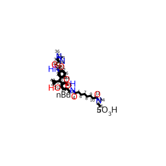 CCCCC(NC(=O)CCCCCCC(=O)N(C)CCS(=O)(=O)O)c1cc(O)c(C(c2cccc(NS(=O)(=O)c3cn(C)cn3)c2)C2CC2)c(=O)o1